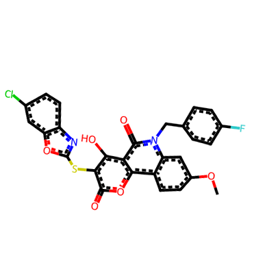 COc1ccc2c3oc(=O)c(Sc4nc5ccc(Cl)cc5o4)c(O)c3c(=O)n(Cc3ccc(F)cc3)c2c1